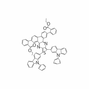 CCOC(=O)c1ccccc1-c1ccc2c3ccc(-c4ccccc4C(=O)OCC)cc3c3nc4c(-c5ccc6c7ccccc7n(-c7ccccc7)c6c5)sc(-c5ccc6c7ccccc7n(-c7ccccc7)c6c5)c4nc3c2c1